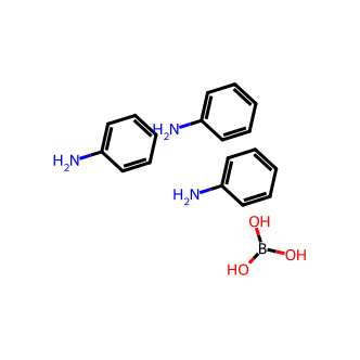 Nc1ccccc1.Nc1ccccc1.Nc1ccccc1.OB(O)O